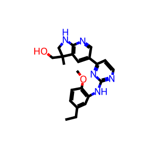 CCc1ccc(OC)c(Nc2nccc(-c3cnc4c(c3)C(C)(CO)CN4)n2)c1